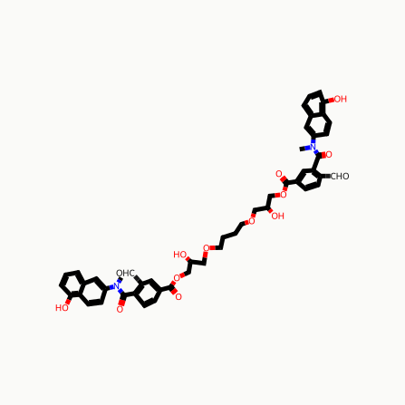 CN(C(=O)c1ccc(C(=O)OCC(O)COCCCCOCC(O)COC(=O)c2ccc(C=O)c(C(=O)N(C)c3ccc4c(O)cccc4c3)c2)cc1C=O)c1ccc2c(O)cccc2c1